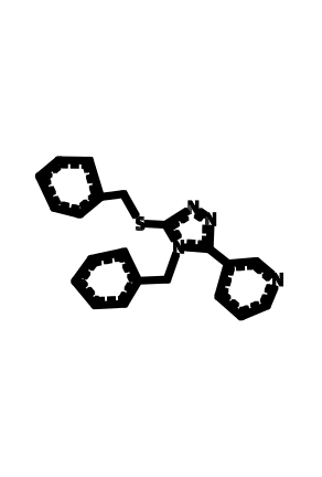 c1ccc(CSc2nnc(-c3cccnc3)n2Cc2ccccc2)cc1